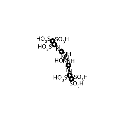 O=S(=O)(O)c1cc(S(=O)(=O)O)c2cc(/N=N/c3ccc(Nc4nc(O)nc(Nc5ccc(/N=N/c6cc(S(=O)(=O)O)c7cc(S(=O)(=O)O)cc(S(=O)(=O)O)c7c6)cc5)n4)cc3)cc(S(=O)(=O)O)c2c1